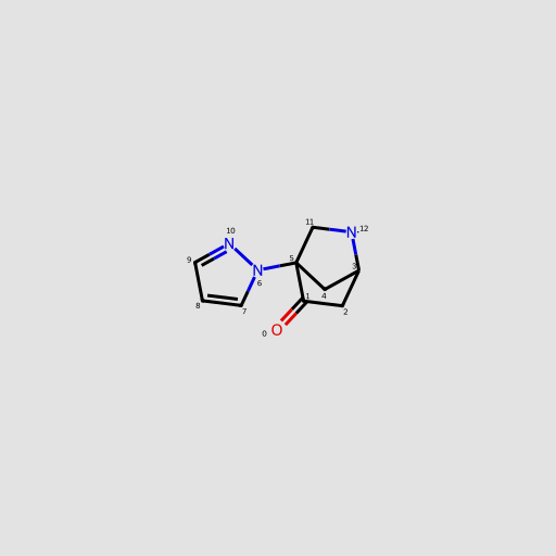 O=C1CC2CC1(n1cccn1)C[N]2